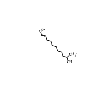 [CH2]C(C#N)CCCCCCCC=CCCC